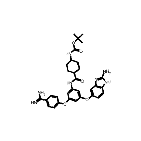 CC(C)(C)OC(=O)NC1CCC(C(=O)Nc2cc(Oc3ccc(C(=N)N)cc3)cc(Oc3ccc4[nH]c(N)nc4c3)c2)CC1